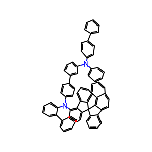 c1ccc(-c2ccc(N(c3ccccc3)c3cccc(-c4ccc(N(c5ccccc5-c5ccccc5)c5cccc6c5-c5ccccc5C65c6ccccc6-c6ccc7ccccc7c65)cc4)c3)cc2)cc1